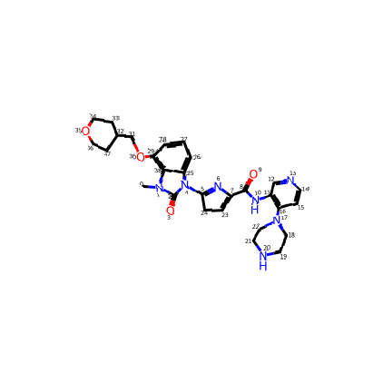 Cn1c(=O)n(C2=NC(C(=O)Nc3cnccc3N3CCNCC3)=CC2)c2cccc(OCC3CCOCC3)c21